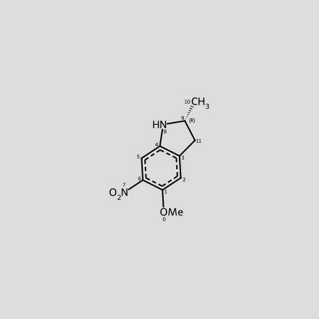 COc1cc2c(cc1[N+](=O)[O-])N[C@H](C)C2